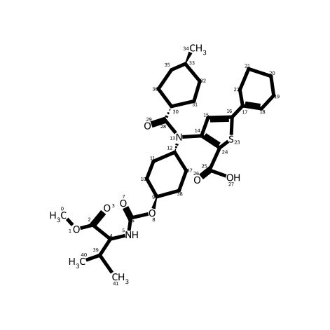 COC(=O)C(NC(=O)O[C@H]1CC[C@H](N(c2cc(C3=CCCCC3)sc2C(=O)O)C(=O)[C@H]2CC[C@H](C)CC2)CC1)C(C)C